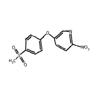 CS(=O)(=O)c1ccc(Oc2ccc([N+](=O)[O-])nc2)cc1